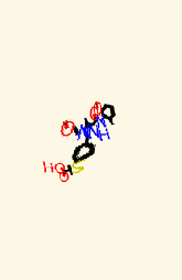 COCCn1c(-c2ccc(SC(C)(C)C(=O)O)cc2)nc(C(=O)Nc2c(C)cccc2OC)c1C